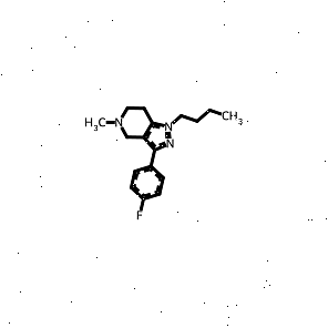 CCCCn1nc(-c2ccc(F)cc2)c2c1CCN(C)C2